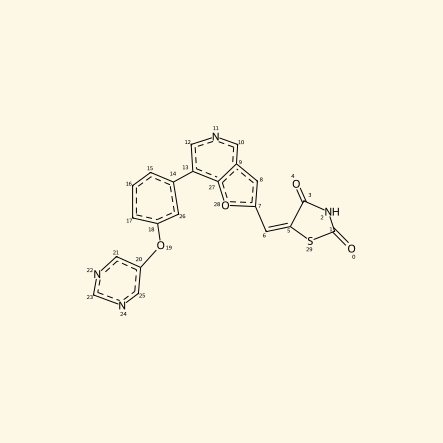 O=C1NC(=O)/C(=C\c2cc3cncc(-c4cccc(Oc5cncnc5)c4)c3o2)S1